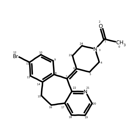 CC(=O)N1CCC(=C2c3ccc(Br)cc3CCc3cccnc32)CC1